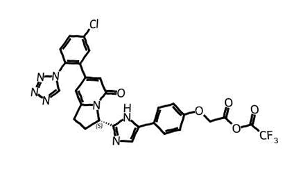 O=C(COc1ccc(-c2cnc([C@@H]3CCc4cc(-c5cc(Cl)ccc5-n5cnnn5)cc(=O)n43)[nH]2)cc1)OC(=O)C(F)(F)F